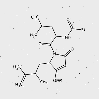 C=C(N)C(C)CC1C(OC)=CC(=O)N1C(=O)C(CC(C)C(Cl)(Cl)Cl)NC(=O)CC